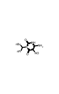 CCCCC(CCC)n1c(=O)[nH]c(N)c(N=O)c1=O